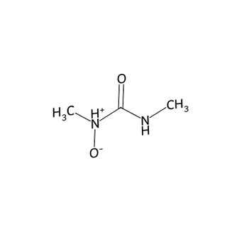 CNC(=O)[NH+](C)[O-]